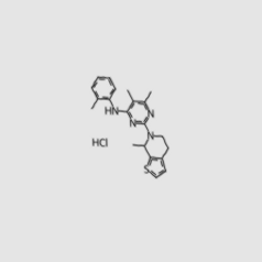 Cc1ccccc1Nc1nc(N2CCc3ccsc3C2C)nc(C)c1C.Cl